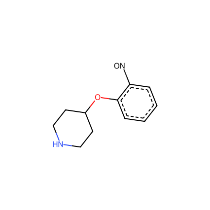 O=Nc1ccccc1OC1CCNCC1